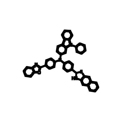 c1ccc(-n2c3ccccc3c3ccc(N(c4ccc(-c5nc6ccccc6o5)cc4)c4ccc(C5Nc6cc7ccccc7cc6S5)cc4)cc32)cc1